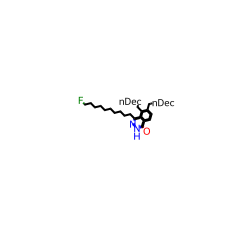 CCCCCCCCCCCc1ccc2c(=O)[nH]nc(CCCCCCCCCCF)c2c1CCCCCCCCCCC